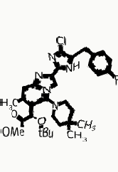 COC(=O)[C@@H](OC(C)(C)C)c1c(C)cc2nc(-c3nc(Cl)c(Cc4ccc(F)cc4)[nH]3)cn2c1N1CCC(C)(C)CC1